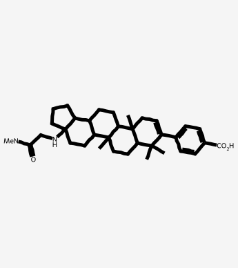 CNC(=O)CNC12CCCC1C1CCC3C(C)(CCC4C(C)(C)C(c5ccc(C(=O)O)cc5)=CCC43C)C1CC2